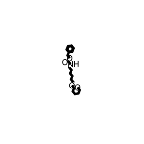 O=C(NCCCCCCOC1CCCCO1)OCc1ccccc1